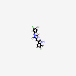 N#Cc1ccc(CN2C(=O)NC(=Cc3c[nH]c4c(F)c(Cl)ccc34)C2=O)cc1F